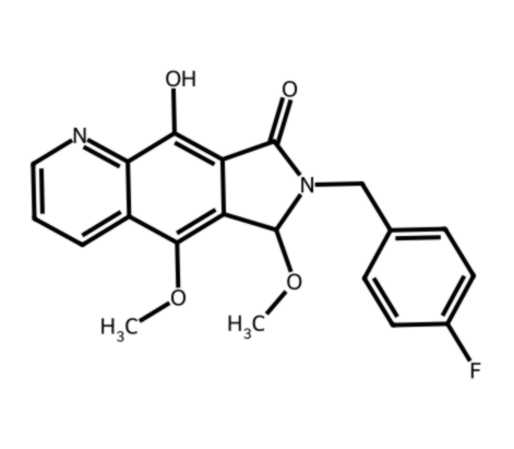 COc1c2c(c(O)c3ncccc13)C(=O)N(Cc1ccc(F)cc1)C2OC